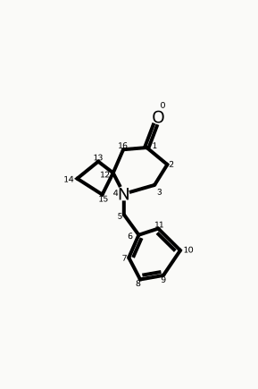 O=C1CCN(Cc2ccccc2)C2(CCC2)C1